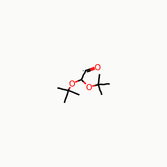 CC(C)(C)OC([C]=O)OC(C)(C)C